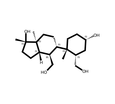 C[C@@]1([C@H]2CC[C@@]3(C)[C@@H](CC[C@]3(C)O)[C@@H]2CO)CC[C@H](O)C[C@@H]1CO